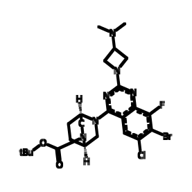 CN(C)C1CN(c2nc(N3C[C@H]4CC[C@@H]3CN4C(=O)OC(C)(C)C)c3cc(Cl)c(Br)c(F)c3n2)C1